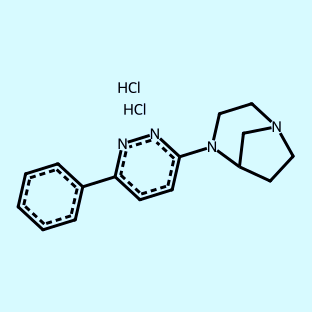 Cl.Cl.c1ccc(-c2ccc(N3CCN4CCC3C4)nn2)cc1